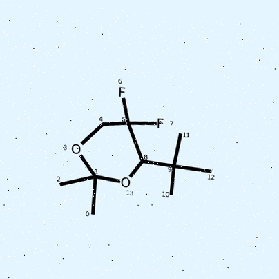 CC1(C)OCC(F)(F)C(C(C)(C)C)O1